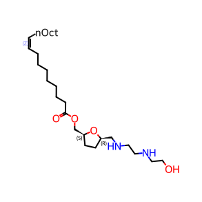 CCCCCCCC/C=C\CCCCCCCC(=O)OC[C@@H]1CC[C@H](CNCCNCCO)O1